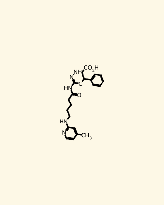 Cc1ccnc(NCCCCC(=O)NC(=NN)OC(CC(=O)O)c2ccccc2)c1